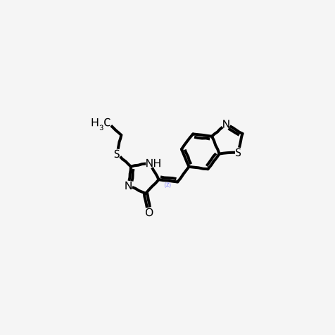 CCSC1=NC(=O)/C(=C/c2ccc3ncsc3c2)N1